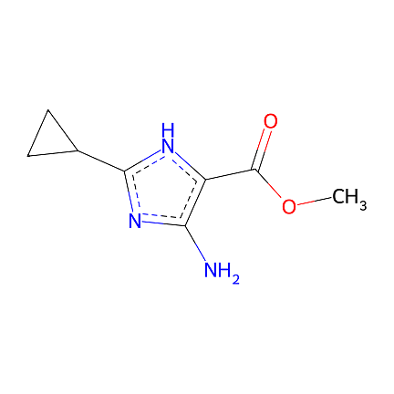 COC(=O)c1[nH]c(C2CC2)nc1N